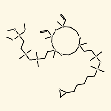 C=C[Si]1(C)CCO[Si](C)(CC[Si](C)(C)O[Si](C)(C)CCCOCC2CO2)CCO[Si](C)(CC[Si](C)(C)O[Si](C)(C)CC[Si](OC)(OC)OC)O[Si](C)(C=C)O1